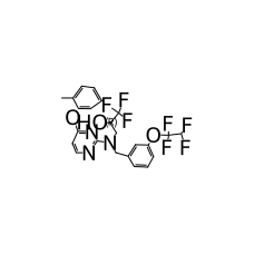 Cc1ccccc1Oc1ccnc(N(Cc2cccc(OC(F)(F)C(F)F)c2)C[C@@H](O)C(F)(F)F)n1